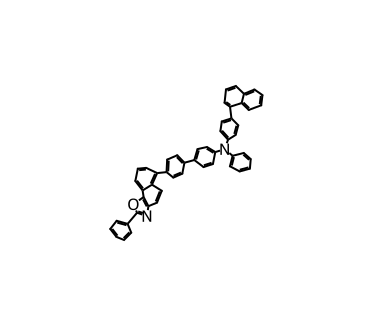 c1ccc(-c2nc3ccc4c(-c5ccc(-c6ccc(N(c7ccccc7)c7ccc(-c8cccc9ccccc89)cc7)cc6)cc5)cccc4c3o2)cc1